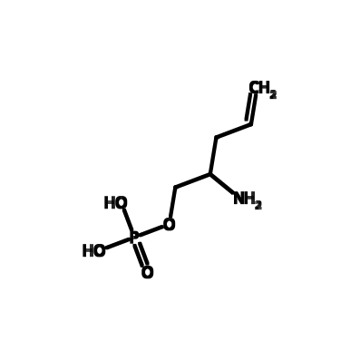 C=CCC(N)COP(=O)(O)O